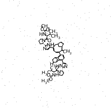 C=C1/C(c2ccc(-c3cnc([C@@H]4CCCN4C(=O)[C@H](NC(=O)OC)C(C)C)[nH]3)c3c2C2CCC3C2)=C\C=C(\c2cnc([C@@H]3CCCN3C(=O)[C@@H](NC(=O)OC)C(C)C)[nH]2)CC2CCC1C2